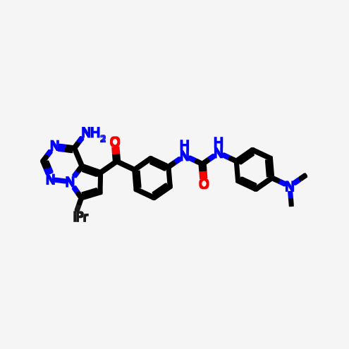 CC(C)c1cc(C(=O)c2cccc(NC(=O)Nc3ccc(N(C)C)cc3)c2)c2c(N)ncnn12